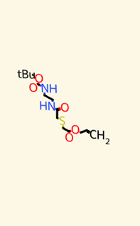 C=CCOC(=O)CSCC(=O)NCCNC(=O)OC(C)(C)C